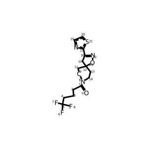 O=C(CCCC(F)(F)F)N1CCC2(CC1)CC(c1nccs1)=NO2